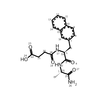 C[C@H](NC(=O)[C@H](Cc1ccc2ccccc2c1)NC(=O)CCC(=O)O)C(N)=O